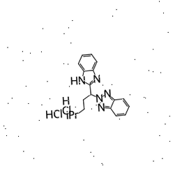 CC(C)CCC(c1nc2ccccc2[nH]1)n1nc2ccccc2n1.Cl.Cl